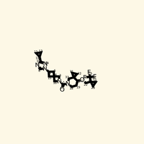 O=C(N1CC2(CC(n3cnc(C4CC4)n3)C2)C1)N1CCC(OCC2(C(F)(F)F)CC2)C2(CC2)C1